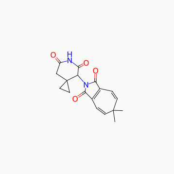 CC1(C)C=CC2=C(C=C1)C(=O)N(C1C(=O)NC(=O)CC13CC3)C2=O